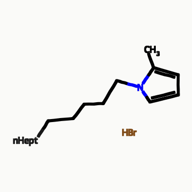 Br.CCCCCCCCCCCCn1cccc1C